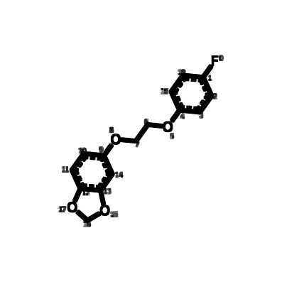 Fc1ccc(OCCOc2ccc3c(c2)OCO3)cc1